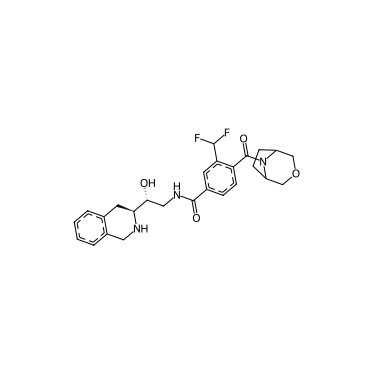 O=C(NC[C@@H](O)[C@@H]1Cc2ccccc2CN1)c1ccc(C(=O)N2C3CCC2COC3)c(C(F)F)c1